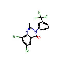 Cc1nc2c(Br)cc(Br)cc2c(=O)n1-c1cccc(C(F)(F)F)c1